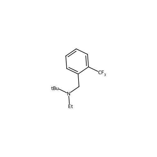 CCN(Cc1ccccc1C(F)(F)F)C(C)(C)C